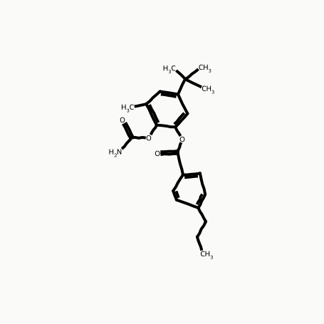 CCCc1ccc(C(=O)Oc2cc(C(C)(C)C)cc(C)c2OC(N)=O)cc1